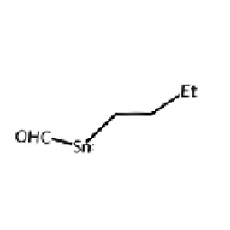 CCC[CH2][Sn][CH]=O